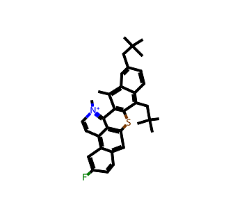 Cc1c2c(c(CC(C)(C)C)c3ccc(CC(C)(C)C)cc13)Sc1cc3ccc(F)cc3c3cc[n+](C)c-2c13